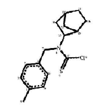 Cc1ccc(CN(C(=S)Cl)C2CC3CCC2C3)cc1